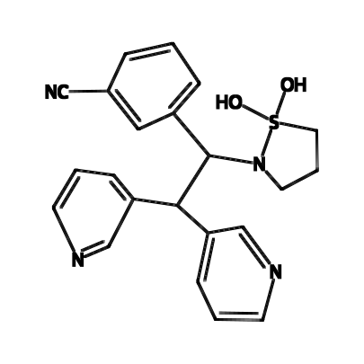 N#Cc1cccc(C(C(c2cccnc2)c2cccnc2)N2CCCS2(O)O)c1